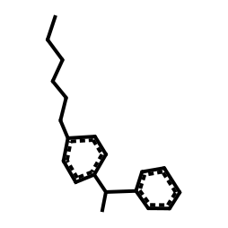 CCCCCCc1ccc(C(C)c2ccccc2)cc1